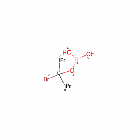 CC(C)C(Br)(OB(O)O)C(C)C